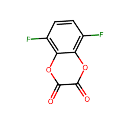 O=c1oc2c(F)ccc(F)c2oc1=O